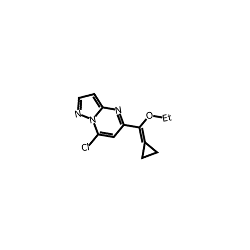 CCOC(=C1CC1)c1cc(Cl)n2nccc2n1